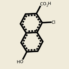 O=C(O)c1ccc2cc(O)ccc2c1Cl